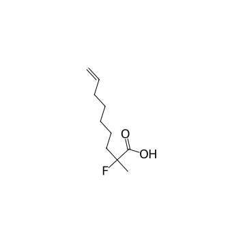 C=CCCCCCC(C)(F)C(=O)O